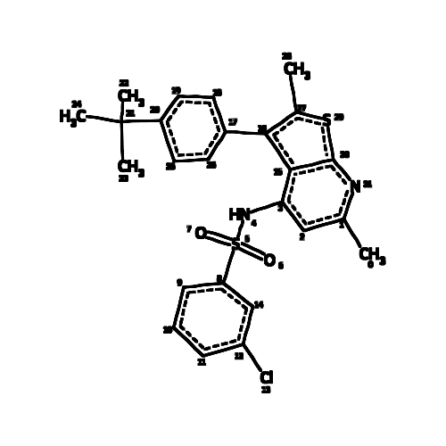 Cc1cc(NS(=O)(=O)c2cccc(Cl)c2)c2c(-c3ccc(C(C)(C)C)cc3)c(C)sc2n1